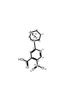 O=C(O)c1cc(N2CCN3CCC2CC3)ncc1[N+](=O)[O-]